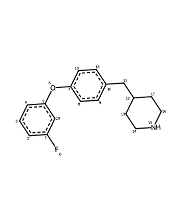 Fc1cccc(Oc2ccc(CC3CCNCC3)cc2)c1